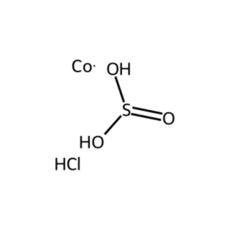 Cl.O=S(O)O.[Co]